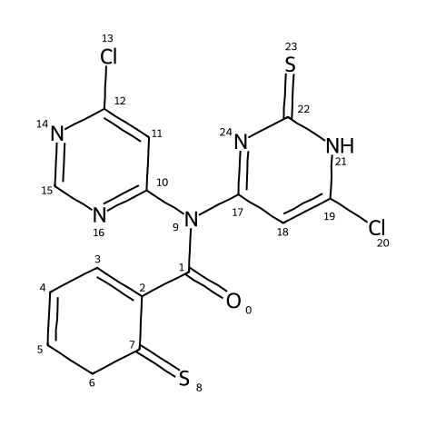 O=C(C1=CC=CCC1=S)N(c1cc(Cl)ncn1)c1cc(Cl)[nH]c(=S)n1